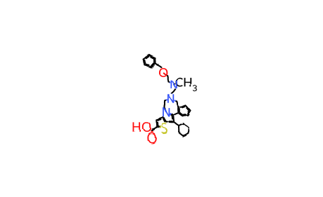 CN(CCOCc1ccccc1)CCN1CCn2c(c(C3CCCCC3)c3sc(C(=O)O)cc32)-c2ccccc2C1